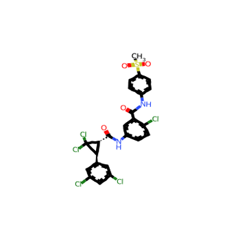 CS(=O)(=O)c1ccc(NC(=O)c2cc(NC(=O)[C@@H]3[C@@H](c4cc(Cl)cc(Cl)c4)C3(Cl)Cl)ccc2Cl)cc1